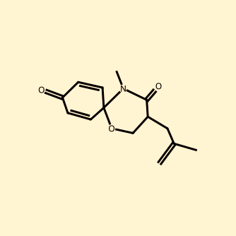 C=C(C)CC1COC2(C=CC(=O)C=C2)N(C)C1=O